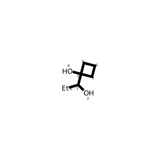 CC[C](O)C1(O)CCC1